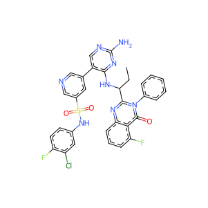 CCC(Nc1nc(N)ncc1-c1cncc(S(=O)(=O)Nc2ccc(F)c(Cl)c2)c1)c1nc2cccc(F)c2c(=O)n1-c1ccccc1